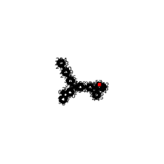 CC1(C)c2ccccc2-c2ccc(N(c3ccc(-c4ccc(-c5ccccc5)cc4)cc3)c3ccc(-c4ccc5c(c4)-c4ccccc4C54C5CC6CC(C5)CC4C6)cc3)cc21